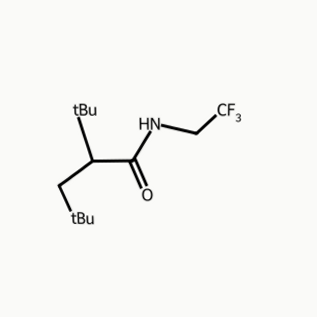 CC(C)(C)CC(C(=O)NCC(F)(F)F)C(C)(C)C